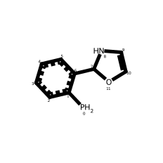 Pc1ccccc1C1NC=CO1